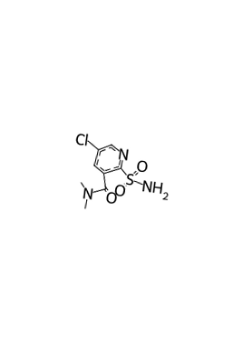 CN(C)C(=O)c1cc(Cl)cnc1S(N)(=O)=O